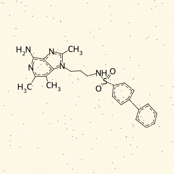 Cc1nc(N)c2nc(C)n(CCCNS(=O)(=O)c3ccc(-c4ccccc4)cc3)c2c1C